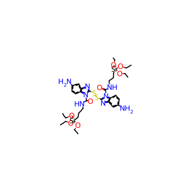 CCO[Si](CCCNC(=O)n1c(SSc2nc3cc(N)ccc3n2C(=O)NCCC[Si](OCC)(OCC)OCC)nc2cc(N)ccc21)(OCC)OCC